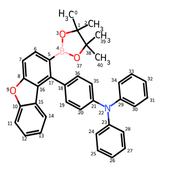 CC1(C)OB(c2ccc3oc4ccccc4c3c2-c2ccc(N(c3ccccc3)c3ccccc3)cc2)OC1(C)C